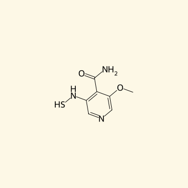 COc1cncc(NS)c1C(N)=O